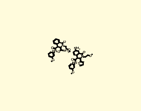 COCCN1C(=O)c2cc(N)ccc2C(C(=O)Nc2cccc(OC)c2)C1c1cccs1.COCCN1C(=O)c2ccccc2C(C(=O)Nc2cccc(OC)c2)C1C(N)=O